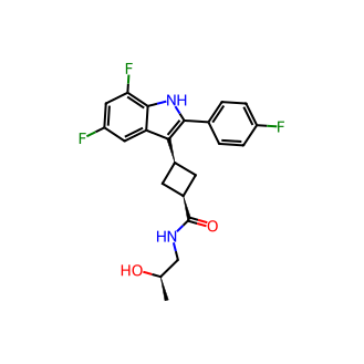 C[C@@H](O)CNC(=O)[C@H]1C[C@@H](c2c(-c3ccc(F)cc3)[nH]c3c(F)cc(F)cc32)C1